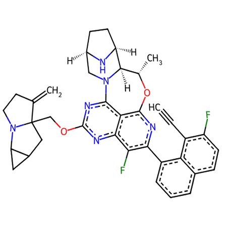 C#Cc1c(F)ccc2cccc(-c3nc4c5c(nc(OCC67CC8CC8N6CCC7=C)nc5c3F)N3C[C@H]5CC[C@H](N5)[C@H]3[C@H](C)O4)c12